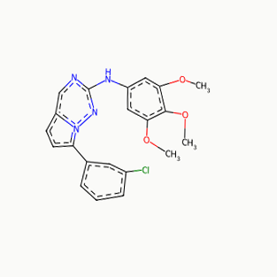 COc1cc(Nc2ncc3ccc(-c4cccc(Cl)c4)n3n2)cc(OC)c1OC